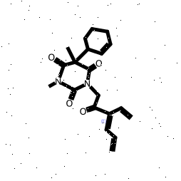 C=C/C=C(\C=C)C(=O)CN1C(=O)N(C)C(=O)C(C)(C2C=CCCC2)C1=O